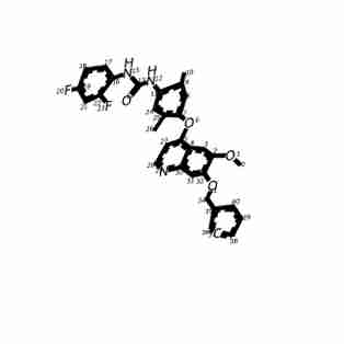 COc1cc2c(Oc3cc(C)c(NC(=O)Nc4ccc(F)cc4F)cc3C)ccnc2cc1OCc1ccccc1